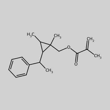 C=C(C)C(=O)OCC1(C)C(C)C1C(C)c1ccccc1